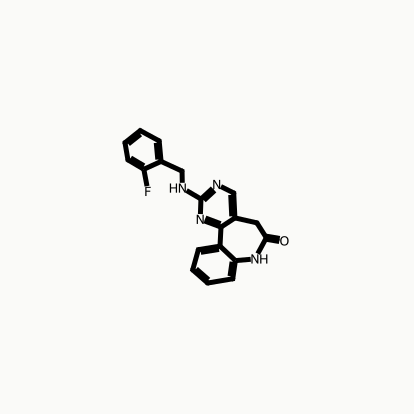 O=C1Cc2cnc(NCc3ccccc3F)nc2-c2ccccc2N1